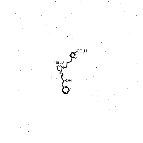 O=C(O)c1ccc(CCCN2[C@@H](/C=C/C(O)Cc3ccccc3)CCS2(=O)=O)s1